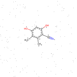 Cc1c(O)cc(O)c(C#N)c1C